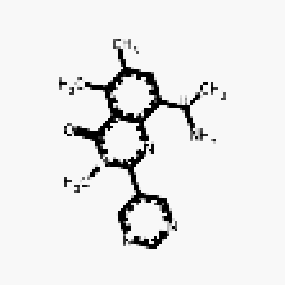 Cc1cc([C@@H](C)N)c2nc(-c3cncnc3)n(C)c(=O)c2c1C